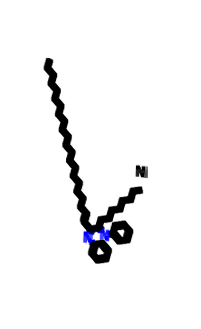 CCCCCCCCCCCCCCCCCCCCC=CC(=Nc1ccccc1)C(CCCCCCCC)=Nc1ccccc1.[Ni]